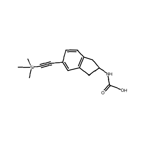 C[Si](C)(C)C#Cc1ccc2c(c1)CC(NC(=O)O)C2